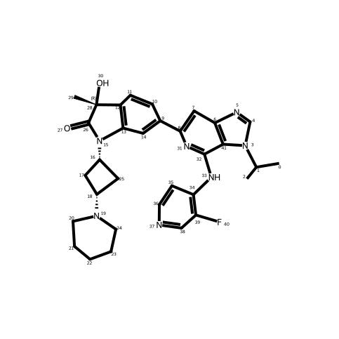 CC(C)n1cnc2cc(-c3ccc4c(c3)N([C@H]3C[C@@H](N5CCCCC5)C3)C(=O)[C@]4(C)O)nc(Nc3ccncc3F)c21